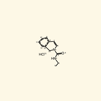 CCNC(=O)N1C=Cc2ccccc2C1.Cl